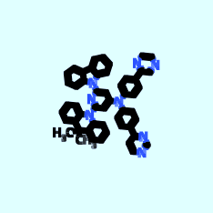 CC1(C)c2ccccc2N(c2cc(N(c3ccc(-c4ccncn4)cc3)c3ccc(-c4cnccn4)cc3)cc(-n3c4ccccc4c4ccccc43)n2)c2ccccc21